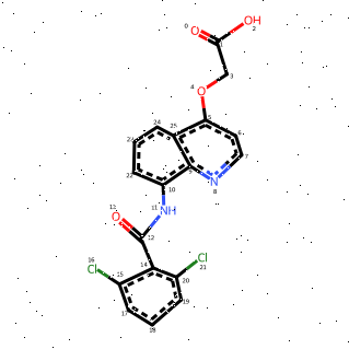 O=C(O)COc1ccnc2c(NC(=O)c3c(Cl)cccc3Cl)cccc12